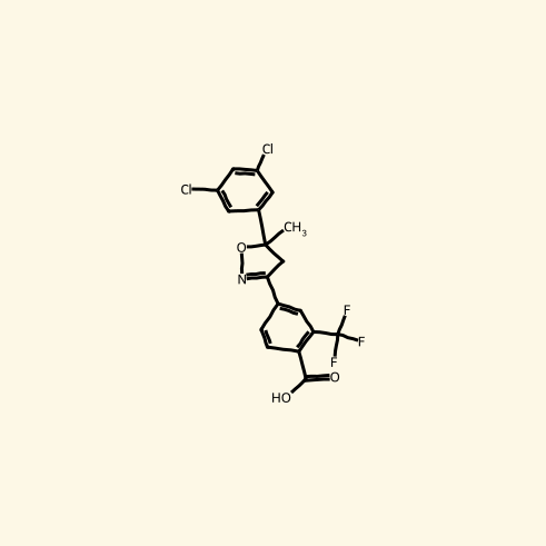 CC1(c2cc(Cl)cc(Cl)c2)CC(c2ccc(C(=O)O)c(C(F)(F)F)c2)=NO1